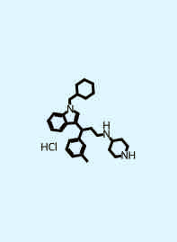 Cc1cccc(C(CCNC2CCNCC2)c2cn(CC3CCCCC3)c3ccccc23)c1.Cl